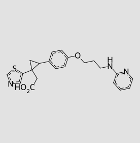 O=C(O)CC1(c2cncs2)CC1c1ccc(OCCCNc2ccccn2)cc1